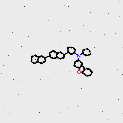 c1ccc(N(c2cccc(-c3ccc4cc(-c5ccc6ccccc6c5)ccc4c3)c2)c2ccc3oc4ccccc4c3c2)cc1